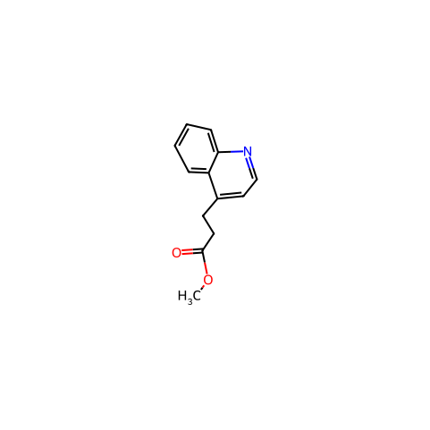 COC(=O)CCc1ccnc2ccccc12